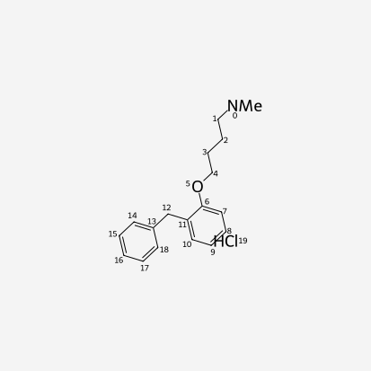 CNCCCCOc1ccccc1Cc1ccccc1.Cl